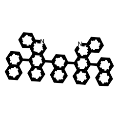 c1ccc2c(-c3c4ccccc4c(-c4ccc(-c5c6ccccc6c(-c6cccc7ccccc67)c6c5cnc5ccccc56)c5ccccc45)c4cnc5ccccc5c34)cccc2c1